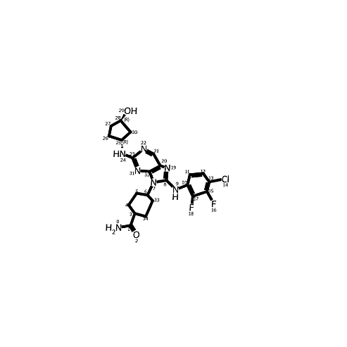 NC(=O)C1CCC(n2c(Nc3ccc(Cl)c(F)c3F)nc3cnc(N[C@@H]4CC[C@@H](O)C4)nc32)CC1